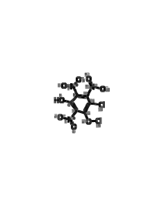 O=[N+]([O-])c1c(O)c([N+](=O)[O-])c([N+](=O)[O-])c(Cl)c1OCl